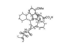 COc1ccc(C2CCCCC2)c2c1cc1n2CC2=C(C(=O)NS(=O)(=O)N(C)C)C2=C2C=CC[C@@H](N(C(=O)O)C(C)(C)C)[C@H]21